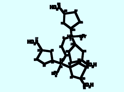 CCC[PH](CCC[PH](CCC)(C1CCC(S(=O)(=O)O)C1)C1CCC(S(=O)(=O)O)C1)(C1CCC(S(=O)(=O)O)C1)C1CCC(S(=O)(=O)O)C1